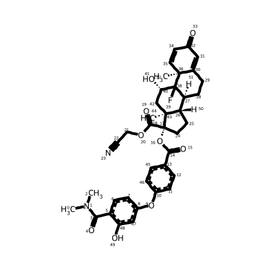 CN(C)C(=O)c1ccc(Oc2ccc(C(=O)O[C@@]3(C(=O)OCC#N)CC[C@H]4[C@@H]5CCC6=CC(=O)C=C[C@]6(C)C5(F)[C@@H](O)C[C@@]43C)cc2)cc1O